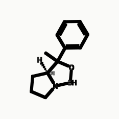 CC1(c2ccccc2)OBN2CCC[C@H]21